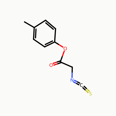 Cc1ccc(OC(=O)CN=C=S)cc1